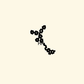 CC1C=CC2=C(C1)c1ccc(\C=C/C=C\C=C\Nc3ccc(-c4ccc(N(c5ccc(-c6ccccc6)cc5)C5C=CC(c6ccccc6)=CC5)cc4-c4ccccc4)cc3)cc1C2(C)C